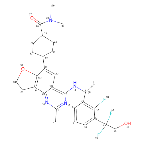 Cc1nc(N[C@H](C)c2cccc(C(F)(F)CO)c2F)c2cc(C3CCC(C(=O)N(C)C)CC3)c3c(c2n1)CCO3